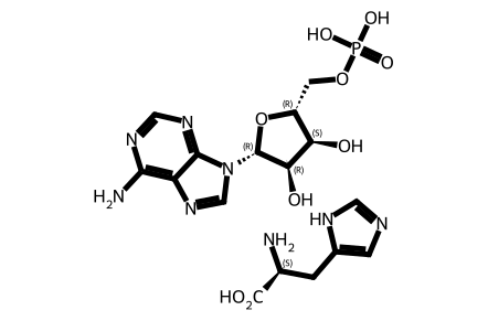 N[C@@H](Cc1cnc[nH]1)C(=O)O.Nc1ncnc2c1ncn2[C@@H]1O[C@H](COP(=O)(O)O)[C@@H](O)[C@H]1O